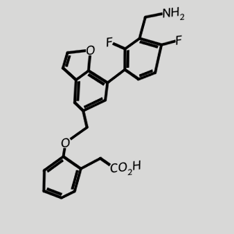 NCc1c(F)ccc(-c2cc(COc3ccccc3CC(=O)O)cc3ccoc23)c1F